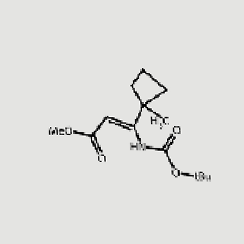 COC(=O)C=C(NC(=O)OC(C)(C)C)C1(C)CCC1